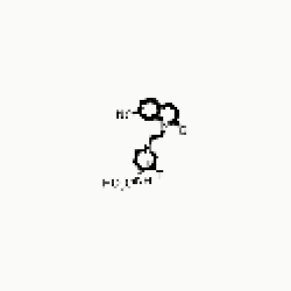 N#Cc1ccc2ccc(=O)n(CCN3CC[C@@H](NC(=O)O)[C@H](F)C3)c2c1